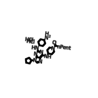 CCCCCC(=O)N1CCC(Nc2nc(N[C@H]3CC[C@H](N)CC3)nc3c2ncn3C2CCCC2)CC1.Cl.Cl